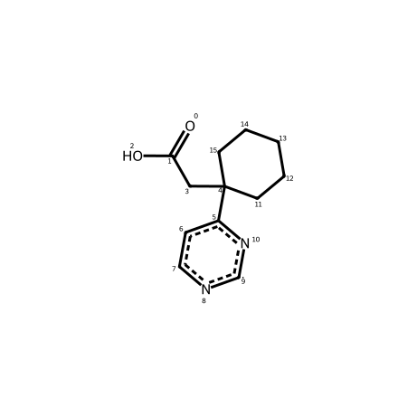 O=C(O)CC1(c2ccn[c]n2)CCCCC1